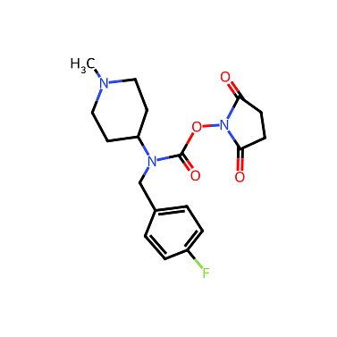 CN1CCC(N(Cc2ccc(F)cc2)C(=O)ON2C(=O)CCC2=O)CC1